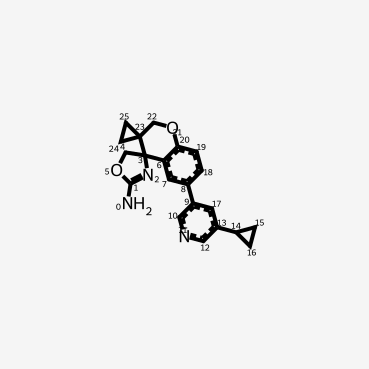 NC1=NC2(CO1)c1cc(-c3cncc(C4CC4)c3)ccc1OCC21CC1